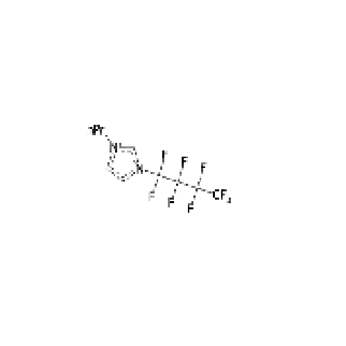 CCC[n+]1ccn(C(F)(F)C(F)(F)C(F)(F)C(F)(F)F)c1